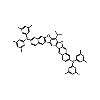 Cc1cc(C)cc(N(c2cc(C)cc(C)c2)c2ccc3cc4c(cc3c2)oc2c(C(C)C)c3oc5cc6cc(N(c7cc(C)cc(C)c7)c7cc(C)cc(C)c7)ccc6cc5c3cc24)c1